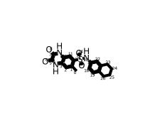 Cc1cc2[nH]c(=O)c(=O)[nH]c2cc1S(=O)(=O)Nc1ccc2c(c1)CCCC2